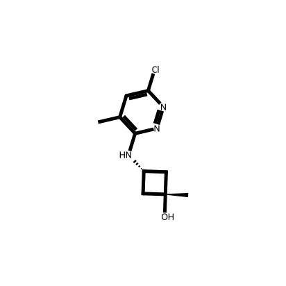 Cc1cc(Cl)nnc1N[C@H]1C[C@@](C)(O)C1